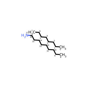 CCCCCCCC.CCCCCCCCCN